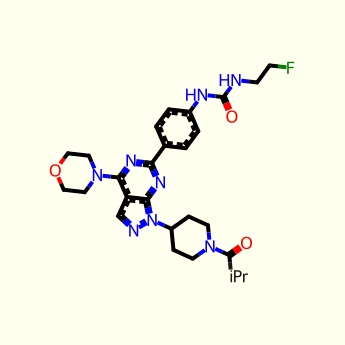 CC(C)C(=O)N1CCC(n2ncc3c(N4CCOCC4)nc(-c4ccc(NC(=O)NCCF)cc4)nc32)CC1